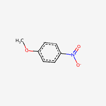 COc1[c]cc([N+](=O)[O-])cc1